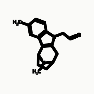 Cc1ccc2c(c1)c1c(n2CC=O)CC2CCC1N2C